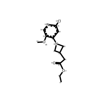 CCOC(=O)CC1CN(c2cc(Cl)ncc2OC)C1